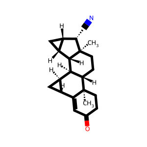 C[C@]12CC[C@H]3[C@@H]([C@@H]4C[C@@H]4C4=CC(=O)CC[C@@]43C)[C@@H]1[C@@H]1C[C@@H]1[C@@H]2C#N